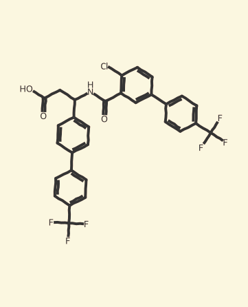 O=C(O)CC(NC(=O)c1cc(-c2ccc(C(F)(F)F)cc2)ccc1Cl)c1ccc(-c2ccc(C(F)(F)F)cc2)cc1